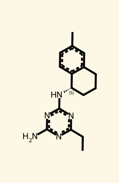 CCc1nc(N)nc(N[C@H]2CCCc3cc(C)ccc32)n1